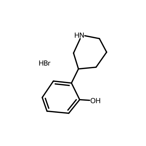 Br.Oc1ccccc1C1CCCNC1